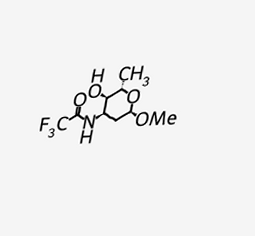 CO[C@H]1C[C@@H](NC(=O)C(F)(F)F)[C@@H](O)[C@H](C)O1